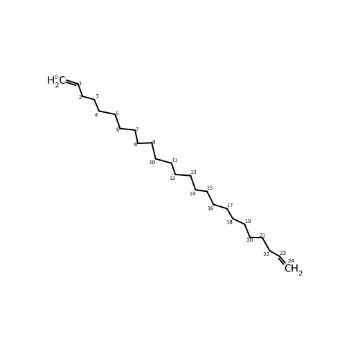 C=CCCCCCCCCCC[CH]CCCCCCCCCCC=C